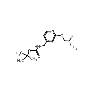 C[C@@H](F)COc1cc(CNC(=O)OC(C)(C)C)ccn1